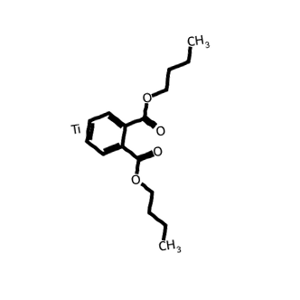 CCCCOC(=O)c1ccccc1C(=O)OCCCC.[Ti]